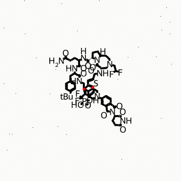 CC(C)(C)c1ccc(CC(NC(=O)C(CCC(N)=O)NC(=O)[C@@H]2CC[C@@H]3CCN(CC(F)F)C[C@H](NC(=O)c4cc5cc(C(F)(F)P(=O)(O)O)ccc5s4)C(=O)N32)C(=O)NCCC2CCN(c3ccc4c(c3)C(=O)N(C3CCC(=O)NC3=O)C4=O)CC2)cc1